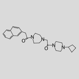 O=C(Cc1ccc2ccccc2c1)N1CCN(CC(=O)N2CCN(C3CCC3)CC2)CC1